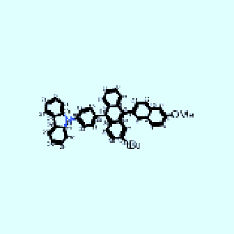 COc1ccc2cc(-c3c4ccccc4c(-c4ccc(-n5c6ccccc6c6ccccc65)cc4)c4ccc(C(C)(C)C)cc34)ccc2c1